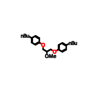 CCCCc1ccc(OCC(COc2ccc(CCCC)cc2)OC)cc1